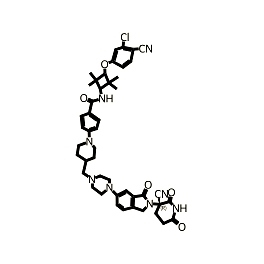 CC1(C)C(NC(=O)c2ccc(N3CCC(CN4CCN(c5ccc6c(c5)C(=O)N([C@@]5(C#N)CCC(=O)NC5=O)C6)CC4)CC3)cc2)C(C)(C)C1Oc1ccc(C#N)c(Cl)c1